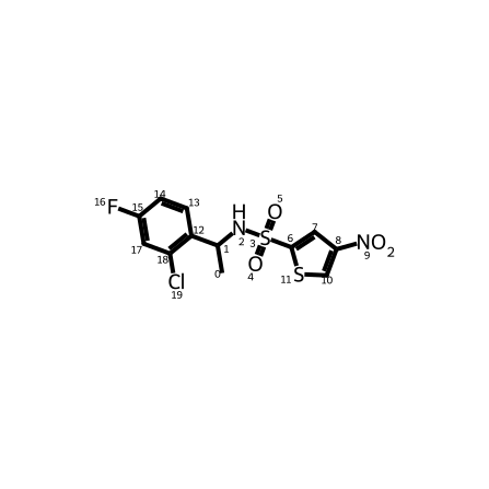 CC(NS(=O)(=O)c1cc([N+](=O)[O-])cs1)c1ccc(F)cc1Cl